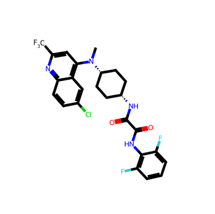 CN(c1cc(C(F)(F)F)nc2ccc(Cl)cc12)[C@H]1CC[C@@H](NC(=O)C(=O)Nc2c(F)cccc2F)CC1